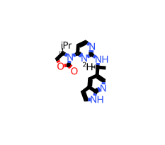 [2H][C@@](C)(Nc1nccc(N2C(=O)OC[C@@H]2C(C)C)n1)c1cnc2[nH]ccc2c1